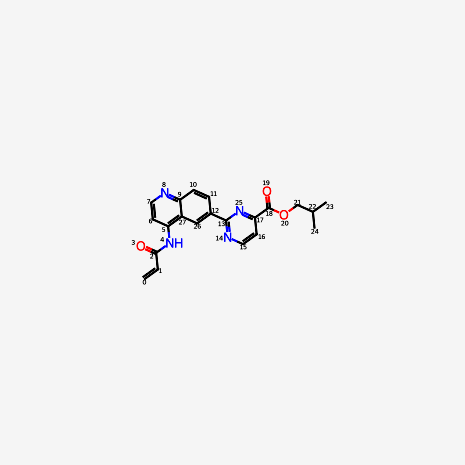 C=CC(=O)Nc1ccnc2ccc(-c3nccc(C(=O)OCC(C)C)n3)cc12